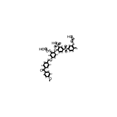 COc1ccc(C(=O)c2ccc(COc3ccc(Oc4ccc(S(=O)(=O)c5ccc(C)c(SOOO)c5)cc4S(=O)(=O)O)c(SOOO)c3)cc2)cc1